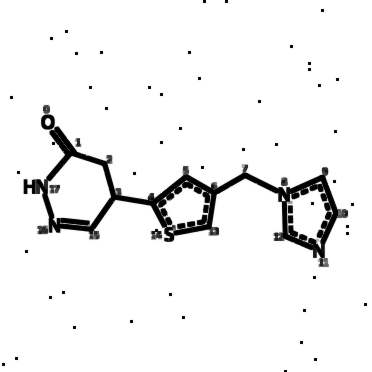 O=C1CC(c2cc(Cn3ccnc3)cs2)C=NN1